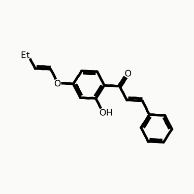 CCC=COc1ccc(C(=O)C=Cc2ccccc2)c(O)c1